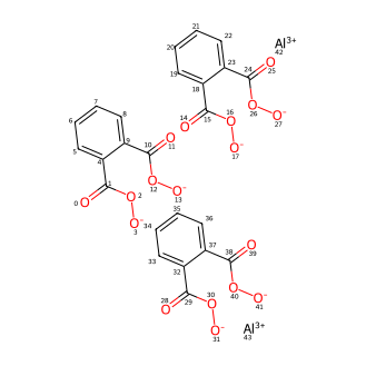 O=C(O[O-])c1ccccc1C(=O)O[O-].O=C(O[O-])c1ccccc1C(=O)O[O-].O=C(O[O-])c1ccccc1C(=O)O[O-].[Al+3].[Al+3]